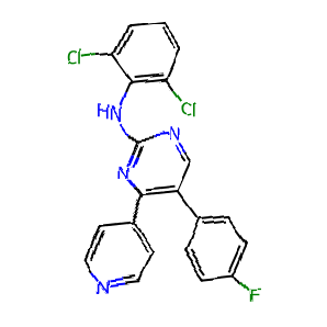 Fc1ccc(-c2cnc(Nc3c(Cl)cccc3Cl)nc2-c2ccncc2)cc1